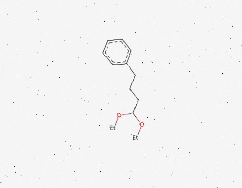 CCOC(CCCc1ccccc1)OCC